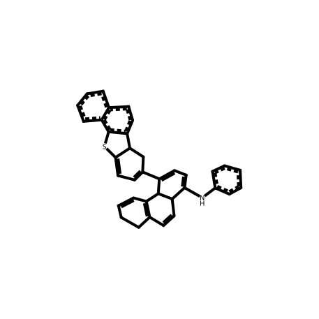 C1=CC2=C(C=CC3C(Nc4ccccc4)=CC=C(C4=CC=C5Sc6c(ccc7ccccc67)C5C4)C23)CC1